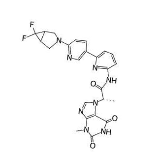 C[C@@H](C(=O)Nc1cccc(-c2ccc(N3CC4C(C3)C4(F)F)nc2)n1)n1cnc2c1c(=O)[nH]c(=O)n2C